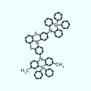 Cc1ccc2c(c1)[Si](c1ccccc1)(c1ccccc1)c1cc(C)ccc1N2c1ccc2c(c1)Sc1cccc3c1B2c1ccc(N2c4ccccc4[Si](c4ccccc4)(c4ccccc4)c4ccccc42)cc1S3